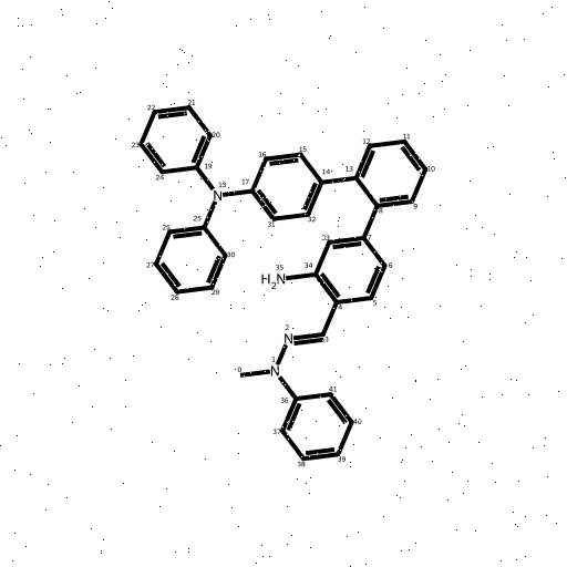 CN(N=Cc1ccc(-c2ccccc2-c2ccc(N(c3ccccc3)c3ccccc3)cc2)cc1N)c1ccccc1